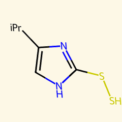 CC(C)c1c[nH]c(SS)n1